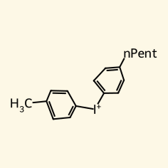 CCCCCc1ccc([I+]c2ccc(C)cc2)cc1